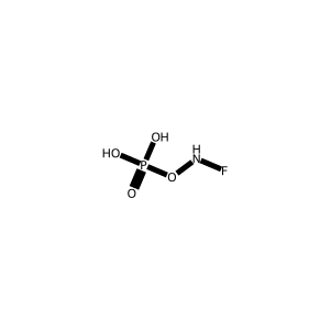 O=P(O)(O)ONF